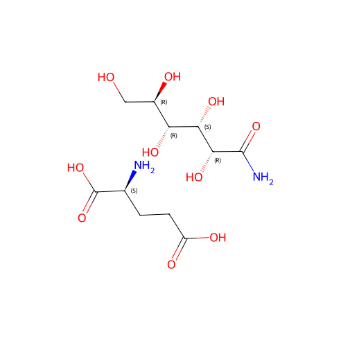 NC(=O)[C@H](O)[C@@H](O)[C@H](O)[C@H](O)CO.N[C@@H](CCC(=O)O)C(=O)O